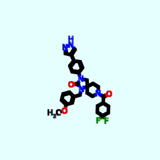 COc1cccc(CN2C(=O)N(c3ccc(-c4cn[nH]c4)cc3)CC23CCN(C(=O)C2CCC(F)(F)CC2)CC3)c1